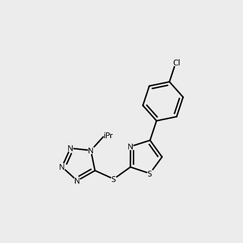 CC(C)n1nnnc1Sc1nc(-c2ccc(Cl)cc2)cs1